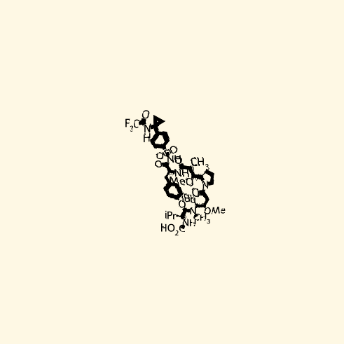 CC[C@H](C)[C@@H]([C@@H](CC(=O)N1CCC[C@H]1[C@H](OC)[C@@H](C)C(=O)N[C@@H](Cc1ccccc1)C(=O)NS(=O)(=O)c1ccc(C2(NC(=O)C(F)(F)F)CC2)cc1)OC)N(C)C(=O)[C@@H](NC(=O)O)C(C)C